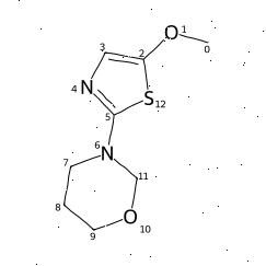 COc1cnc(N2CCCOC2)s1